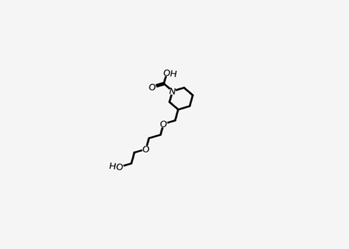 O=C(O)N1CCCC(COCCOCCO)C1